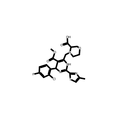 COC(=O)C1=C(CN2CCOCC2C(=O)O)NC(c2nc(C)cs2)=NC1c1ccc(F)cc1Cl